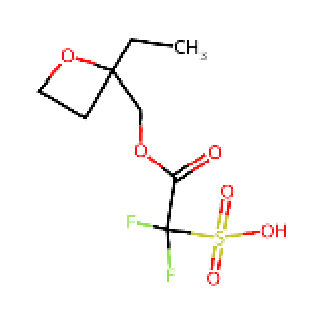 CCC1(COC(=O)C(F)(F)S(=O)(=O)O)CCO1